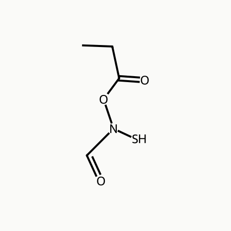 CCC(=O)ON(S)C=O